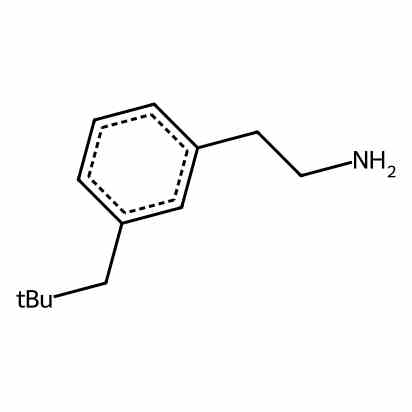 CC(C)(C)Cc1cccc(CCN)c1